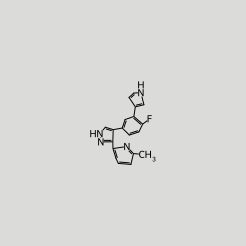 Cc1cccc(-c2n[nH]cc2-c2ccc(F)c(-c3cc[nH]c3)c2)n1